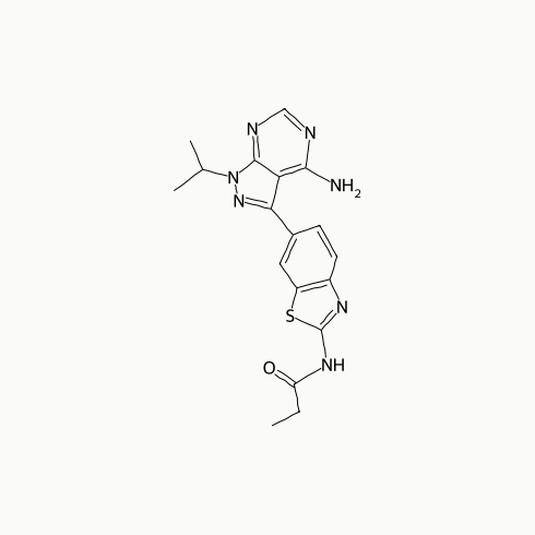 CCC(=O)Nc1nc2ccc(-c3nn(C(C)C)c4ncnc(N)c34)cc2s1